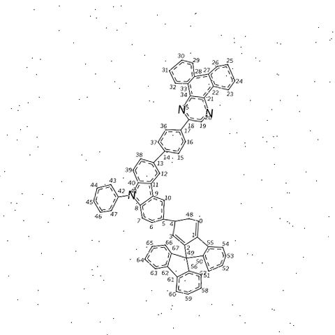 C1=C2C(=CC(c3ccc4c(c3)c3cc(-c5ccc(-c6cnc7c8ccccc8c8ccccc8c7n6)cc5)ccc3n4-c3ccccc3)C1)C1(c3ccccc32)c2ccccc2-c2ccccc21